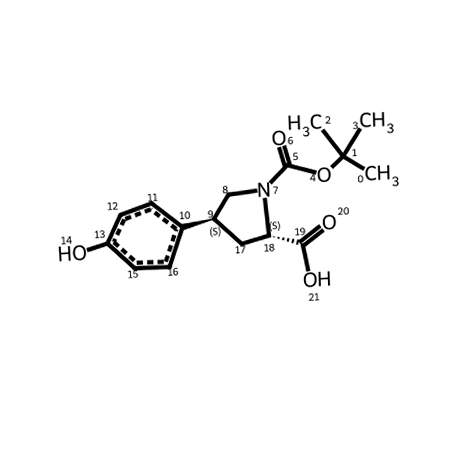 CC(C)(C)OC(=O)N1C[C@H](c2ccc(O)cc2)C[C@H]1C(=O)O